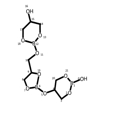 OB1OCC(OB2OCC(COB3OCC(O)CO3)O2)CO1